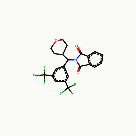 O=C1c2ccccc2C(=O)N1C(c1cc(C(F)(F)F)cc(C(F)(F)F)c1)C1CCOCC1